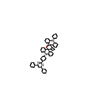 c1ccc(-c2cc(-c3ccccc3)nc(-c3ccc(N4c5ccccc5C5(c6ccccc64)c4ccccc4[Si]4(c6ccccc6N(c6ccccc6)c6ccccc64)c4ccccc45)cc3)n2)cc1